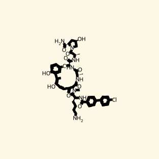 C=C1/C=C\C(O)=C(/C)c2cc(ccc2O)C[C@@H](C(=O)N[C@@H](C)C(=O)N2C[C@H](O)C[C@H]2C(N)=O)NC(=O)[C@H](C)NC(=O)[C@H]1N(C)C(=O)[C@H](CCCCN)NC(=O)c1ccc(-c2ccc(Cl)cc2)cc1